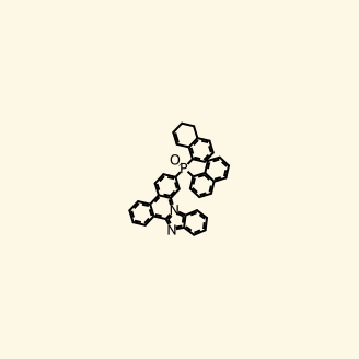 O=P(c1ccc2c3ccccc3c3nc4ccccc4n3c2c1)(c1cccc2c1C=CCC2)c1cccc2ccccc12